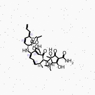 C=C/C=C(\C=C/I(NC1=C/C=C/[C@H](C)I([C@H](O)I2(C)(O)C(=O)C(C(N)=O)=C(O)[C@H]2N(C)C)C(=O)\C=C\1O)P(=O)(OCC)OCC)OC